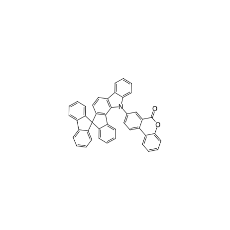 O=c1oc2ccccc2c2ccc(-n3c4ccccc4c4ccc5c(c43)-c3ccccc3C53c4ccccc4-c4ccccc43)cc12